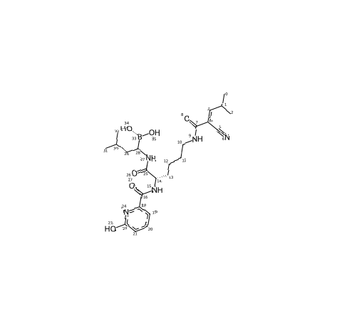 CC(C)C=C(C#N)C(=O)NCCCC[C@H](NC(=O)c1cccc(O)n1)C(=O)NC(CC(C)C)B(O)O